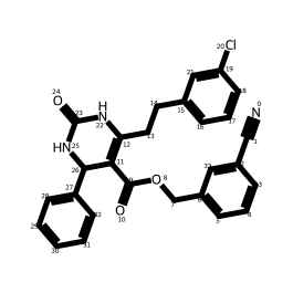 N#Cc1cccc(COC(=O)C2=C(CCc3cccc(Cl)c3)NC(=O)NC2c2ccccc2)c1